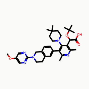 COc1cnc(N2CCc3cc(-c4c(C)nc(C)c(C(OC(C)(C)C)C(=O)O)c4N4CCC(C)(C)CC4)ccc3C2)nc1